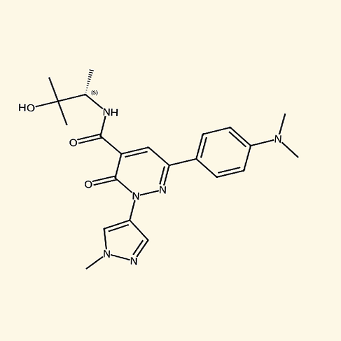 C[C@H](NC(=O)c1cc(-c2ccc(N(C)C)cc2)nn(-c2cnn(C)c2)c1=O)C(C)(C)O